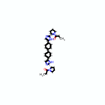 CCC(=O)N1CCC[C@H]1c1ncc(-c2ccc(-c3ccc(-c4cnc([C@@H]5CCCN5C(=O)CC)[nH]4)cc3)cc2)[nH]1